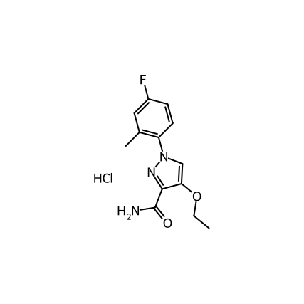 CCOc1cn(-c2ccc(F)cc2C)nc1C(N)=O.Cl